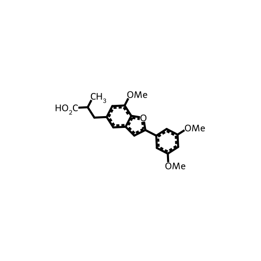 COc1cc(OC)cc(-c2cc3cc(CC(C)C(=O)O)cc(OC)c3o2)c1